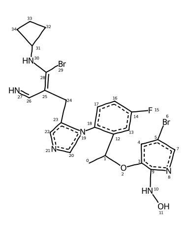 CC(Oc1cc(Br)cnc1NO)c1cc(F)ccc1-n1cncc1C/C(C=N)=C(\Br)NC1CCC1